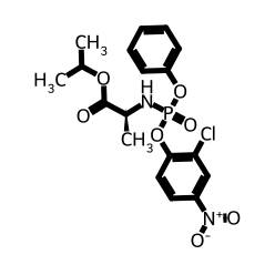 CC(C)OC(=O)[C@H](C)NP(=O)(Oc1ccccc1)Oc1ccc([N+](=O)[O-])cc1Cl